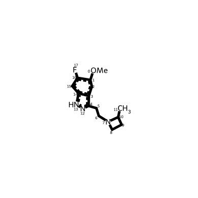 COc1cc2c(CCN3CCC3C)n[nH]c2cc1F